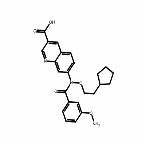 COc1cccc(C(=O)N(OCCC2CCCC2)c2ccc3cc(C(=O)O)cnc3c2)c1